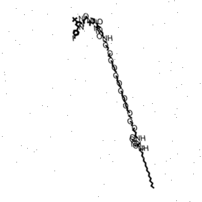 CCCCCCCCCCCCCCCCNC(=O)C[C@H](NC(=O)CCOCCOCCOCCOCCOCCOCCOCCOCCOCCOCCOCCOCCNC(=O)Cn1cc(C(=O)N2CCN(C(=O)c3cn4nc(-c5ccc(F)cc5)cc(C(C)(C)C)c4n3)C(C)(C)C2)nn1)C(N)=O